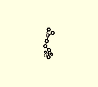 c1ccc(CN2C(c3ccccc3)C3C(c4ccc(-c5cccc(-c6ccc7c(c6)C6(c8ccccc8Oc8ccccc86)c6ccccc6-7)c5)cc4)N32)cc1